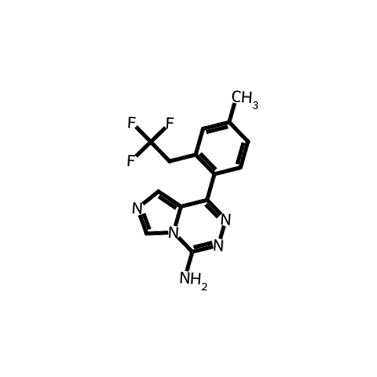 Cc1ccc(-c2nnc(N)n3cncc23)c(CC(F)(F)F)c1